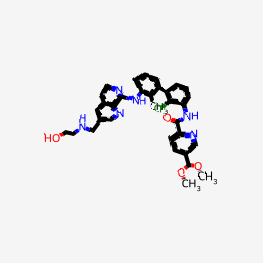 COC(OC)c1ccc(C(=O)Nc2cccc(-c3cccc(Nc4nccc5cc(CNCCO)cnc45)c3C)c2Cl)nc1